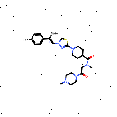 CN/C(=C\N1CSC(N2CCC(C(=O)N(C)CC(=O)N3CCN(C)CC3)CC2)=N1)c1ccc(C(C)C)cc1